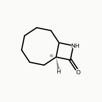 O=C1NC2CCCCCC[C@H]12